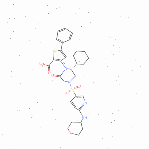 O=C(O)c1sc(-c2ccccc2)cc1N1C(=O)CN(S(=O)(=O)c2ccc(NC3CCOCC3)nc2)C[C@H]1C1CCCCC1